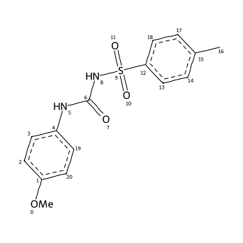 COc1ccc(NC(=O)NS(=O)(=O)c2ccc(C)cc2)cc1